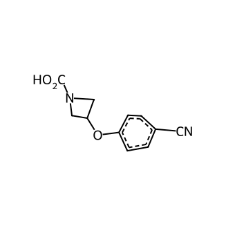 N#Cc1ccc(OC2CN(C(=O)O)C2)cc1